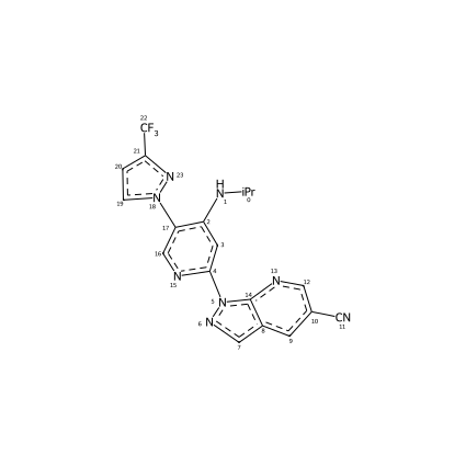 CC(C)Nc1cc(-n2ncc3cc(C#N)cnc32)ncc1-n1ccc(C(F)(F)F)n1